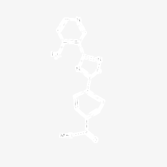 COC(=O)c1ccc(-c2nc(-c3cnccc3C(F)(F)F)no2)cc1